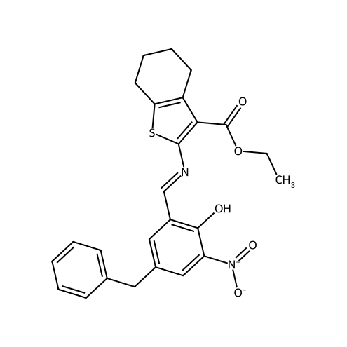 CCOC(=O)c1c(N=Cc2cc(Cc3ccccc3)cc([N+](=O)[O-])c2O)sc2c1CCCC2